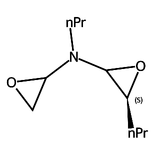 CCC[C@@H]1OC1N(CCC)C1CO1